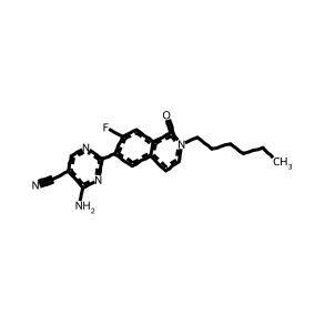 CCCCCCn1ccc2cc(-c3ncc(C#N)c(N)n3)c(F)cc2c1=O